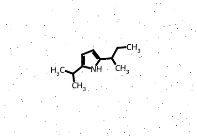 CCC(C)c1ccc(C(C)C)[nH]1